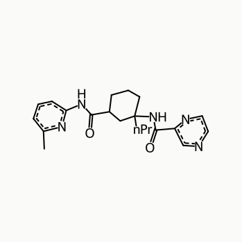 CCCC1(NC(=O)c2cnccn2)CCCC(C(=O)Nc2cccc(C)n2)C1